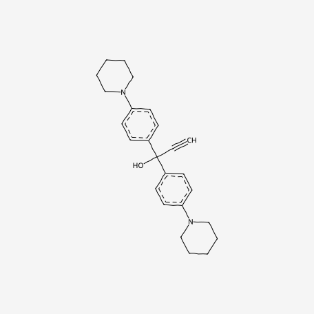 C#CC(O)(c1ccc(N2CCCCC2)cc1)c1ccc(N2CCCCC2)cc1